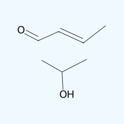 C/C=C/C=O.CC(C)O